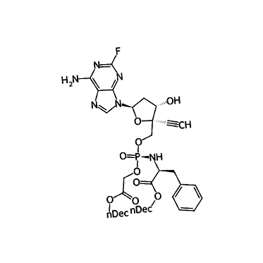 C#C[C@]1(CO[P@](=O)(N[C@@H](Cc2ccccc2)C(=O)OCCCCCCCCCC)OCC(=O)OCCCCCCCCCC)O[C@@H](n2cnc3c(N)nc(F)nc32)C[C@@H]1O